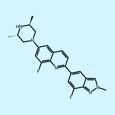 C[C@H]1CN(c2cc(F)c3nc(-c4cc(F)c5nn(C)cc5c4)ccc3c2)C[C@H](C)N1